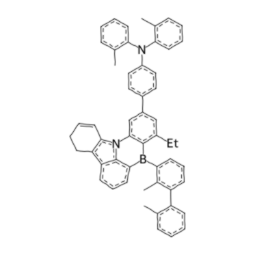 CCc1cc(-c2ccc(N(c3ccccc3C)c3ccccc3C)cc2)cc2c1B(c1cccc(-c3ccccc3C)c1C)c1cccc3c4c(n-2c13)C=CCC4